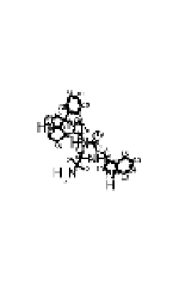 CC(C)(N)C(=O)N[C@H](Cc1c[nH]c2ccccc12)C(=O)Nc1cn(C(C=O)(c2ccccc2)C2CCCN2)cn1